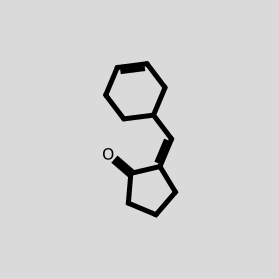 O=C1CCCC1=CC1CC=CCC1